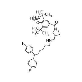 COc1c(C(C)(C)C)cc(C(=O)N2CC[C@@H](CNCCCCCC(c3ccc(F)cc3)c3ccc(F)cc3)C2)cc1C(C)(C)C